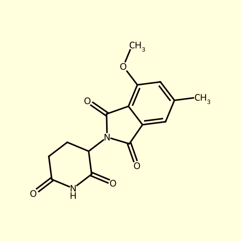 COc1cc(C)cc2c1C(=O)N(C1CCC(=O)NC1=O)C2=O